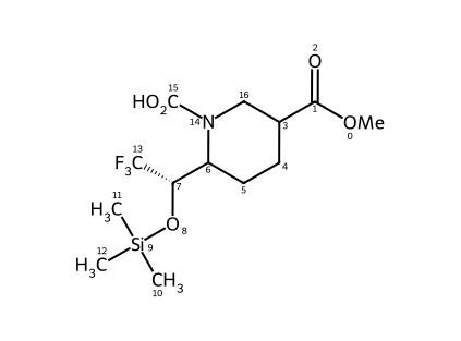 COC(=O)C1CCC([C@H](O[Si](C)(C)C)C(F)(F)F)N(C(=O)O)C1